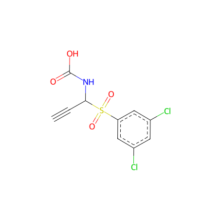 C#CC(NC(=O)O)S(=O)(=O)c1cc(Cl)cc(Cl)c1